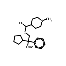 CCC(OCC(OC(C)=O)(c1ccccc1)C1CCCC1)C1CCN(C)CC1